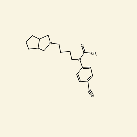 CC(=O)N(CCCCN1CC2CCCC2C1)c1ccc(C#N)cc1